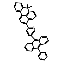 CC1(C)c2ccccc2-c2ccc(-c3ccc(-c4c5ccccc5c(-c5ccccc5)c5ccccc45)cn3)c3cccc1c23